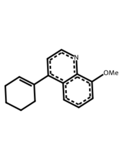 COc1cccc2c(C3=CCCCC3)ccnc12